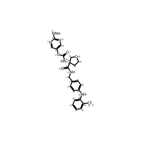 CNc1ncc(OC(=O)N[C@@]2(C(=O)NCc3ccc(Nc4ccccc4C(F)(F)F)cc3)CCOC2)cn1